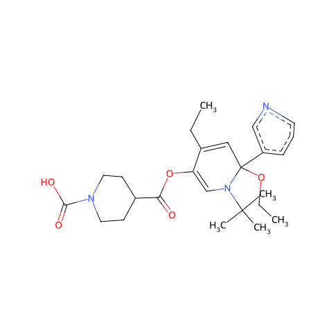 CCOC1(c2cccnc2)C=C(CC)C(OC(=O)C2CCN(C(=O)O)CC2)=CN1C(C)(C)C